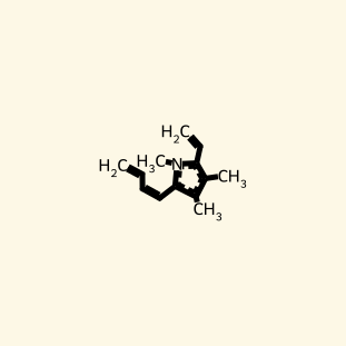 C=C/C=C\c1c(C)c(C)c(C=C)n1C